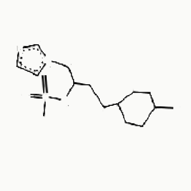 CC(C)(C)C1CCC(CCC(Cn2ccnc2)OS(C)(=O)=O)CC1